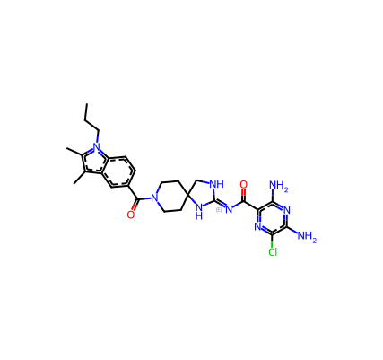 CCCn1c(C)c(C)c2cc(C(=O)N3CCC4(CC3)CN/C(=N\C(=O)c3nc(Cl)c(N)nc3N)N4)ccc21